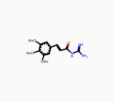 COc1cc(/C=C/C(=O)NC(=N)N)cc(OC)c1OC